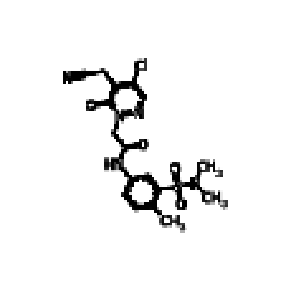 Cc1ccc(NC(=O)Cn2ncc(Cl)c(CC#N)c2=O)cc1S(=O)(=O)N(C)C